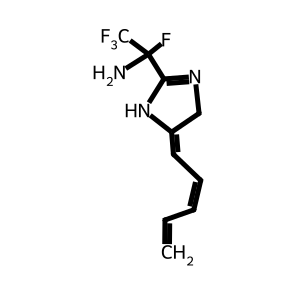 C=C/C=C\C=C1/CN=C(C(N)(F)C(F)(F)F)N1